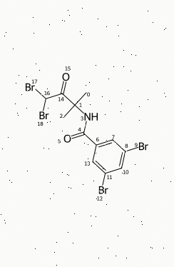 CC(C)(NC(=O)c1cc(Br)cc(Br)c1)C(=O)C(Br)Br